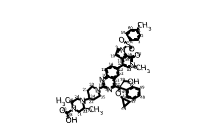 Cc1ccc(S(=O)(=O)n2ccc3c(-c4ccc5nc(N6CCC(N7C[C@@H](C)N(C(=O)O)C[C@@H]7C)CC6)nc([C@@](CO)(OC6CC6)c6ccccc6)c5c4)cn(C)c(=O)c32)cc1